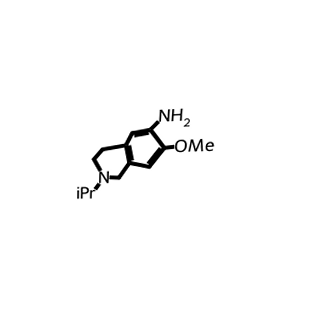 COc1cc2c(cc1N)CCN(C(C)C)C2